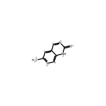 Cc1cc2cnc(=O)[nH]c2cn1